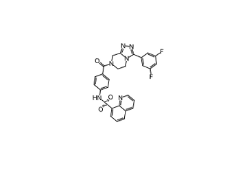 O=C(c1ccc(NS(=O)(=O)c2cccc3cccnc23)cc1)N1CCn2c(nnc2-c2cc(F)cc(F)c2)C1